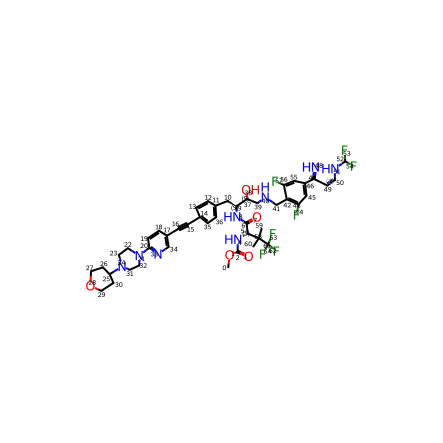 COC(=O)N[C@H](C(=O)N[C@@H](Cc1ccc(C#Cc2ccc(N3CCN(C4CCOCC4)CC3)nc2)cc1)[C@@H](O)CNCc1c(F)cc(C(=N)/C=C\NC(F)F)cc1F)C(C)(C)C(F)(F)F